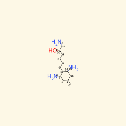 CC1CC(N)C(CCCCC(O)CN)C(N)C1